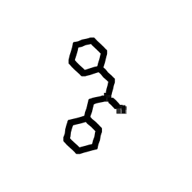 CCN(CC1CCCCC1)CC1CCCCC1